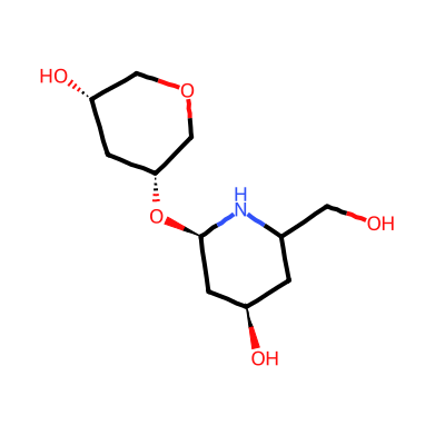 OCC1C[C@@H](O)C[C@@H](O[C@H]2COC[C@@H](O)C2)N1